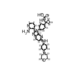 Nc1ncccc1-c1nc2ccc(Nc3ccc(N4CCOCC4)cc3)nc2n1-c1ccc(C2(NC(=O)O)CCC2)cc1